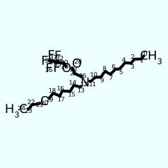 CCCCCCCCCCCCN(CCCCCCCCCCCC)CCC(=O)OCC(F)(F)C(F)(F)F